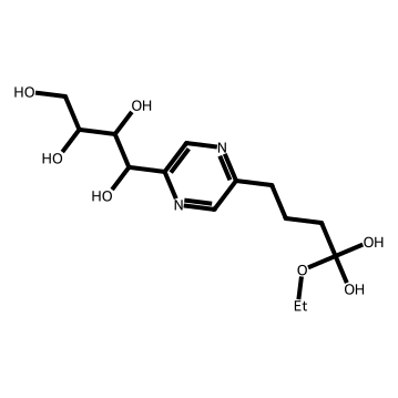 CCOC(O)(O)CCCc1cnc(C(O)C(O)C(O)CO)cn1